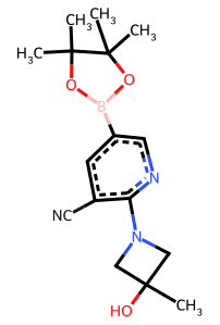 CC1(O)CN(c2ncc(B3OC(C)(C)C(C)(C)O3)cc2C#N)C1